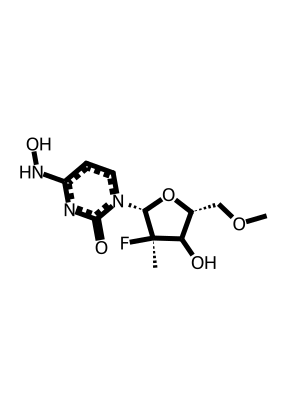 COC[C@H]1O[C@@H](n2ccc(NO)nc2=O)[C@](C)(F)C1O